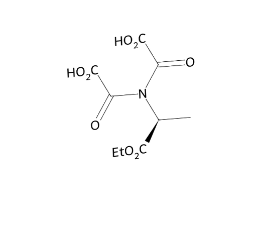 CCOC(=O)[C@H](C)N(C(=O)C(=O)O)C(=O)C(=O)O